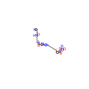 O=C(/C=C/c1cccnc1)NCCCCC1CCN(C(=O)c2ccc(N3CCN(CCCCCCCCSc4cccc5c4CN(C4CCC(=O)NC4=O)C5=O)CC3)nc2)CC1